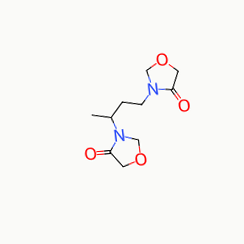 CC(CCN1COCC1=O)N1COCC1=O